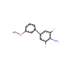 CCCOc1cccc(-c2cc(F)c(N)c(F)c2)c1